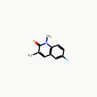 Cc1cc2cc(F)ccc2n(C)c1=O